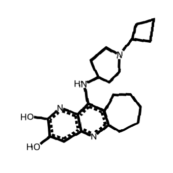 Oc1cc2nc3c(c(NC4CCN(C5CCC5)CC4)c2nc1O)CCCCC3